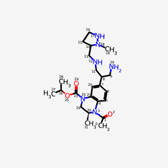 CC(=O)N1c2ccc(C(CN)CNCC3CCNN3C)cc2N(C(=O)OC(C)C)C[C@@H]1C